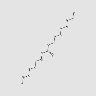 CCCCCCCCCC(=O)CCCCCCCC